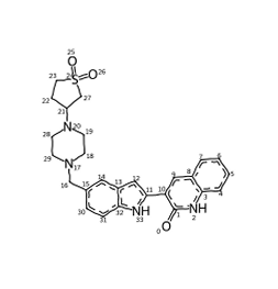 O=c1[nH]c2ccccc2cc1-c1cc2cc(CN3CCN(C4CCS(=O)(=O)C4)CC3)ccc2[nH]1